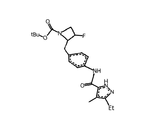 CCc1n[nH]c(C(=O)Nc2ccc(CC3C(F)CN3C(=O)OC(C)(C)C)cc2)c1C